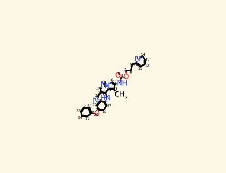 Cc1c(NC(=O)OCCCc2ccccn2)cn2ncc(C#N)c(Nc3ccc(Oc4ccccc4)cc3)c12